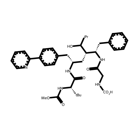 COC(=O)N[C@H](C(=O)N[C@H](Cc1ccc(-c2ccccn2)cc1)C[C@H](C(O)C(C)C)[C@H](Cc1ccccc1)NC(=O)CNC(=O)O)C(C)(C)C